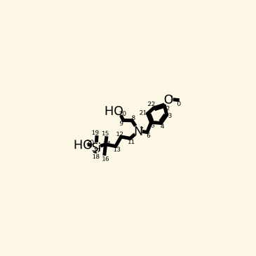 COc1ccc(CN(CCO)CCCC(C)(C)[Si](C)(C)O)cc1